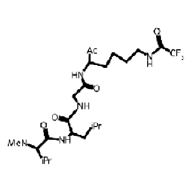 CNC(C(=O)NC(CC(C)C)C(=O)NCC(=O)NC(CCCCNC(=O)C(F)(F)F)C(C)=O)C(C)C